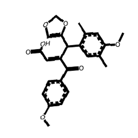 COc1ccc(C(=O)C(=CC(=O)O)C(C2=COCO2)c2cc(C)c(OC)cc2C)cc1